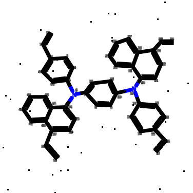 C=Cc1ccc(N(c2ccc(N(c3ccc(C=C)cc3)c3ccc(C=C)c4ccccc34)cc2)c2ccc(C=C)c3ccccc23)cc1